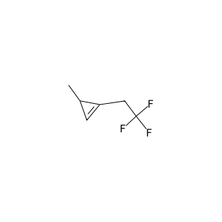 CC1C=C1CC(F)(F)F